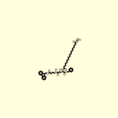 CC(C)(C)OC(=O)CCCCCCCCCCCCCCCCC(=O)N[C@@H](CCC(=O)NCCCC(=O)OCC1c2ccccc2-c2ccccc21)C(=O)OCc1ccccc1